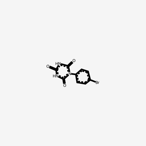 O=c1[nH]c(=O)n(-c2ccc(Br)cc2)c(=O)[nH]1